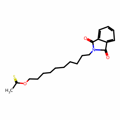 CC(=S)OCCCCCCCCCCN1C(=O)c2ccccc2C1=O